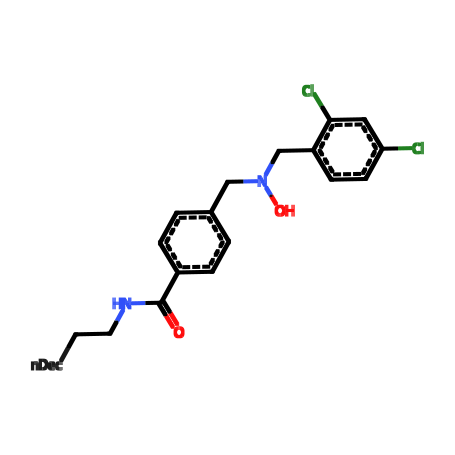 CCCCCCCCCCCCNC(=O)c1ccc(CN(O)Cc2ccc(Cl)cc2Cl)cc1